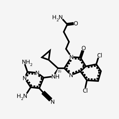 N#Cc1c(N)nc(N)nc1N[C@H](c1nc2c(Cl)ccc(Cl)c2c(=O)n1CCCC(N)=O)C1CC1